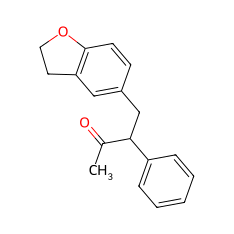 CC(=O)C(Cc1ccc2c(c1)CCO2)c1ccccc1